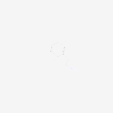 [I-].[I-].[I-].[I-].[I-].[NH3+]CCc1ccccc1.[Sn+4]